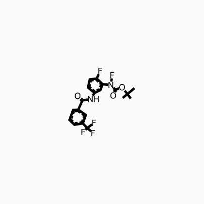 CC(C)(C)OC(=O)N(F)c1cc(NC(=O)c2cccc(C(F)(F)F)c2)ccc1F